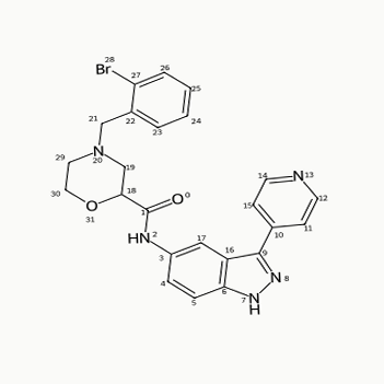 O=C(Nc1ccc2[nH]nc(-c3ccncc3)c2c1)C1CN(Cc2ccccc2Br)CCO1